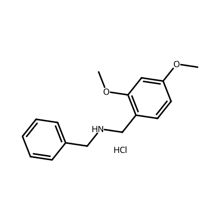 COc1ccc(CNCc2ccccc2)c(OC)c1.Cl